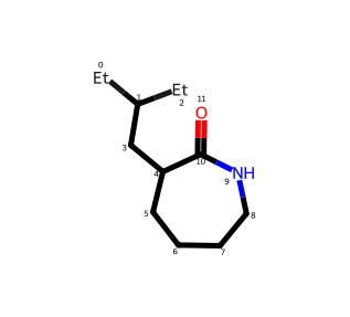 CCC(CC)CC1CCCCNC1=O